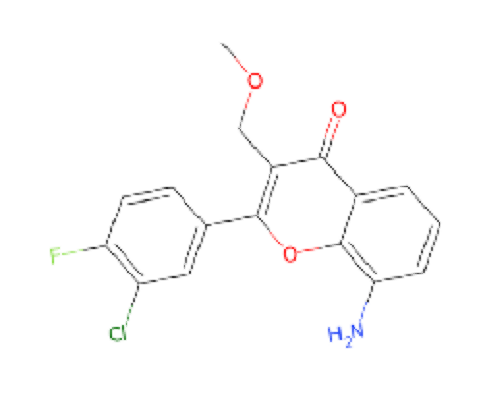 COCc1c(-c2ccc(F)c(Cl)c2)oc2c(N)cccc2c1=O